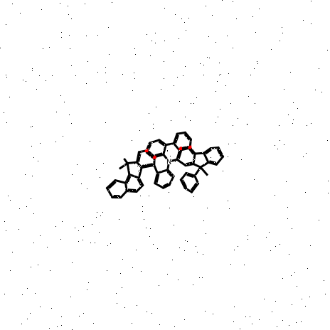 CC1(C)c2cccc(-c3ccccc3N(c3ccc4c(c3)C(C)(c3ccccc3)c3ccccc3-4)c3ccccc3-c3ccccc3)c2-c2ccc3ccccc3c21